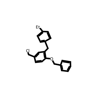 CCc1ccc(Cc2cc(CCl)ccc2OCc2ccccc2)cc1